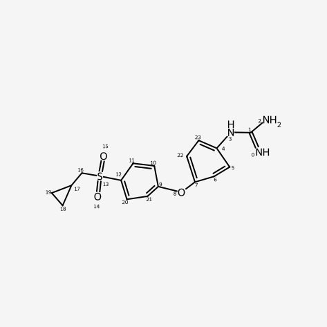 N=C(N)Nc1ccc(Oc2ccc(S(=O)(=O)CC3CC3)cc2)cc1